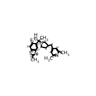 Cc1cc(CC2CCN([C@@](C)(O)c3cc4nc(C)sc4cc3F)C2)cc(C)n1